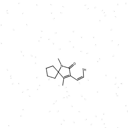 CC1=C(/C=C\S)C(=O)N(C)C12CCCC2